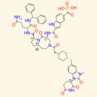 Cn1c(=O)n([C@@H]2CCC(=O)NC2=O)c2ccc(C[C@H]3CC[C@H](CC(=O)N4CC[C@H]5CC[C@@H](C(=O)NC(CCC(N)=O)C(=O)NC(c6ccccc6)c6ccccc6)N5C(=O)[C@@H](NC(=O)c5cc6cc(C(=O)P(=O)(O)O)ccc6[nH]5)C4)CC3)cc21